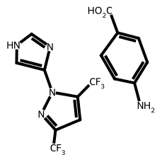 FC(F)(F)c1cc(C(F)(F)F)n(-c2c[nH]cn2)n1.Nc1ccc(C(=O)O)cc1